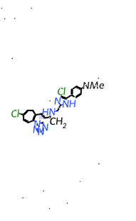 C=C(/C=C/C1=C(n2cnnn2)C=CC(Cl)=CC1)NCc1nc(Cl)c(-c2ccc(NC)cc2)[nH]1